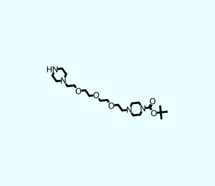 CC(C)(C)OC(=O)N1CCN(CCOCCOCCOCCN2CCNCC2)CC1